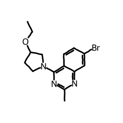 CCOC1CCN(c2nc(C)nc3cc(Br)ccc23)C1